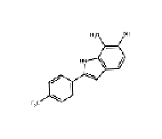 Nc1c(O)ccc2cc(-c3ccc(C(F)(F)F)cc3)[nH]c12